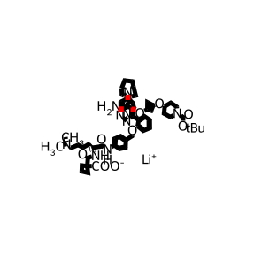 CN(C)CCCC[C@H](NC(=O)C1(C(=O)[O-])CCC1)C(=O)Nc1ccc(COc2ccccc2-c2cc(N3CC4CCC(C3)N4c3ccnc(OC4CC(OC5CCN(C(=O)OC(C)(C)C)CC5)C4)c3)c(N)nn2)cc1.[Li+]